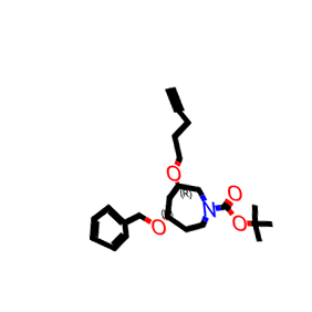 C#CCCCO[C@@H]1C[C@H](OCc2ccccc2)CCN(C(=O)OC(C)(C)C)C1